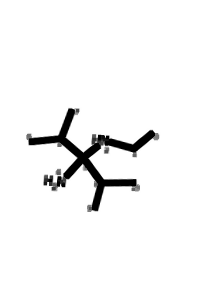 CCNC(N)(C(C)C)C(C)C